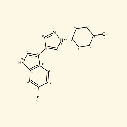 O[C@H]1CC[C@H](n2cc(-c3c[nH]c4cc(F)ccc34)cn2)CC1